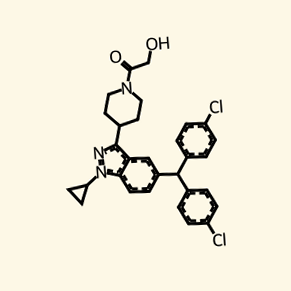 O=C(CO)N1CCC(c2nn(C3CC3)c3ccc(C(c4ccc(Cl)cc4)c4ccc(Cl)cc4)cc23)CC1